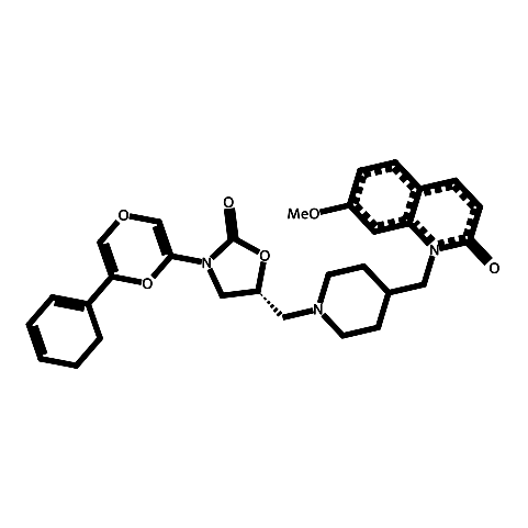 COc1ccc2ccc(=O)n(CC3CCN(C[C@@H]4CN(C5=COC=C(C6=CC=CCC6)O5)C(=O)O4)CC3)c2c1